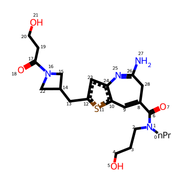 CCCN(CCCO)C(=O)C1=Cc2sc(CC3CN(C(=O)CCO)C3)cc2N=C(N)C1